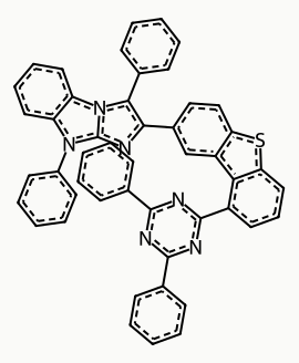 c1ccc(-c2nc(-c3ccccc3)nc(-c3cccc4sc5ccc(-c6nc7n(-c8ccccc8)c8ccccc8n7c6-c6ccccc6)cc5c34)n2)cc1